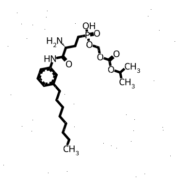 CCCCCCCCc1cccc(NC(=O)[C@H](N)CCP(=O)(O)OCOC(=O)OC(C)C)c1